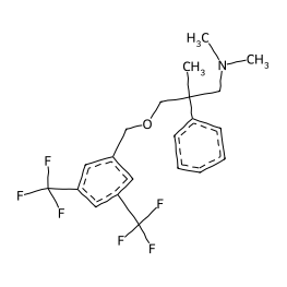 CN(C)CC(C)(COCc1cc(C(F)(F)F)cc(C(F)(F)F)c1)c1ccccc1